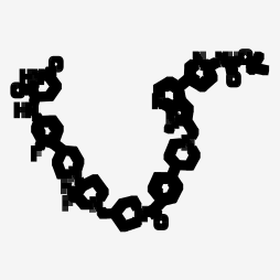 Cn1c(CN2CCC(c3ccc(C(=O)N4CCC(CN5CCC(N6CCC(c7ccc(NC8CCC(=O)NC8=O)cc7F)CC6)C(F)(F)C5)CC4)cc3)CC2)cc2c(-c3ccc(NC(=O)OC(C)(C)C)nc3)ccnc21